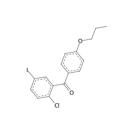 CCCOc1ccc(C(=O)c2cc(I)ccc2Cl)cc1